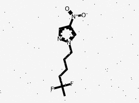 CC(F)(F)CCCCn1cc([N+](=O)[O-])cn1